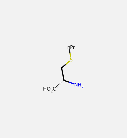 CCCSC[C@H](N)C(=O)O